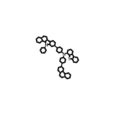 c1ccc(-n2c3cc(-c4ccc(N(c5ccc(-c6ccc7ccc8ccccc8c7c6)cc5)c5cccc6c5sc5ccccc56)cc4)ccc3c3ccc4ccccc4c32)cc1